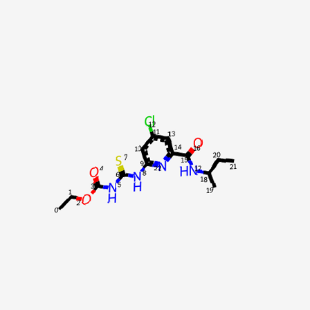 CCOC(=O)NC(=S)Nc1cc(Cl)cc(C(=O)NC(C)CC)n1